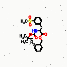 CC(C)(C)OC(=O)NC(Cc1cccc(S(C)(=O)=O)c1)C(=O)OCc1ccccc1